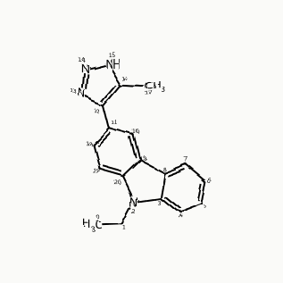 CCn1c2ccccc2c2cc(-c3nn[nH]c3C)ccc21